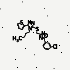 CCCCn1c(SCc2noc(-c3cccc(Cl)c3)n2)nnc1-c1cccs1